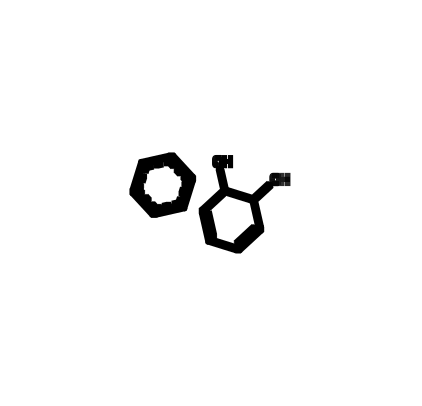 OC1C=CC=CC1O.c1ccccc1